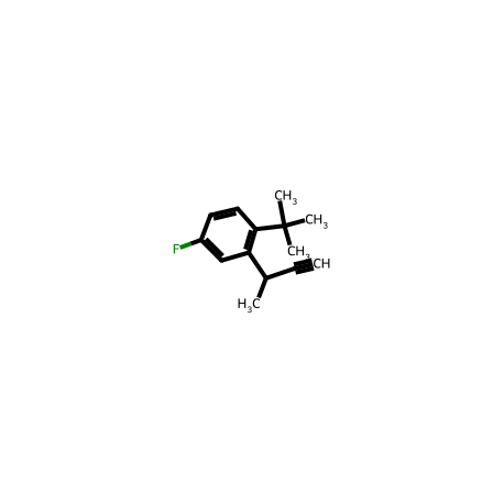 C#CC(C)c1cc(F)ccc1C(C)(C)C